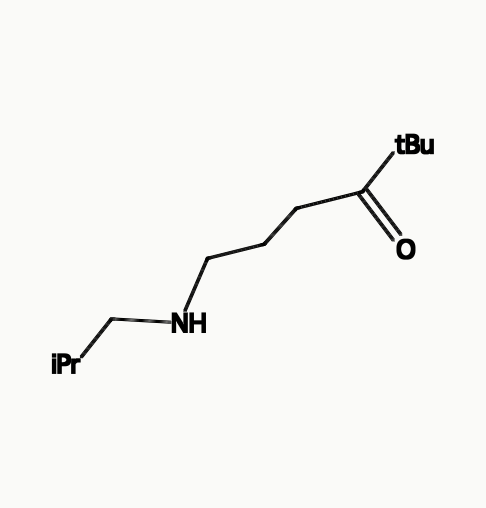 CC(C)CNCCCC(=O)C(C)(C)C